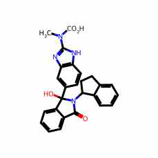 CN(C(=O)O)c1nc2cc(C3(O)c4ccccc4C(=O)N3C3CCc4ccccc43)ccc2[nH]1